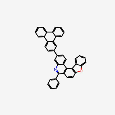 c1ccc(-c2nc3cc(-c4ccc5c6ccccc6c6ccccc6c5c4)ccc3c3c2ccc2oc4ccccc4c23)cc1